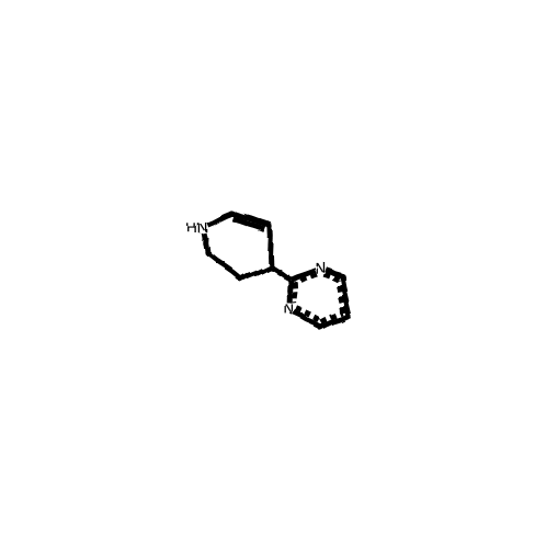 C1=CC(c2ncccn2)CCN1